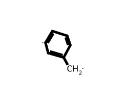 [CH2]c1c[c]ccc1